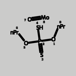 CCCOP(=S)(S)OCCC.[O]=[Mo]